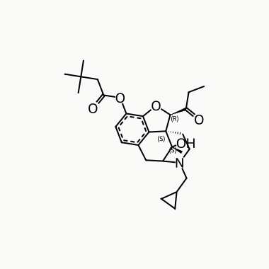 CCC(=O)[C@@H]1Oc2c(OC(=O)CC(C)(C)C)ccc3c2[C@@]12CCN(CC1CC1)C(C3)[C@@]2(C)O